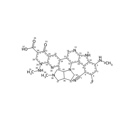 CNc1cc(F)c(C#N)c2c1[nH]c1ncc(-c3cnc4c(c3)c(=O)c(C(=O)O)cn4NC)c(N3CCC4CN(C)CC43)c12